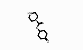 O=C1CCC(OC(=O)N2CCNCC2)CC1